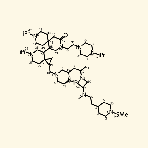 CSN1CCC(CCN(C)C2CN(C(C)CC3CN(C[C@@H]4CC45CCN(C(C)C)CC5C4CN(CCN5CCN(C(C)C)CC5)C(=O)CC45CCN(C(C)C)CC5)CCN3C(C)C)C2)CC1